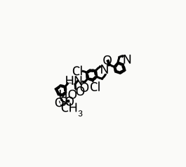 CS(=O)(=O)c1cccc(C[C@H](NC(=O)c2c(Cl)cc3c(c2Cl)CCN(C(=O)c2cccc4c2CC=N4)C3)C(=O)O)c1